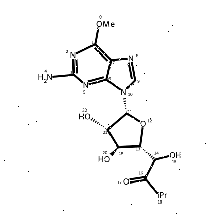 COc1nc(N)nc2c1ncn2[C@@H]1O[C@H](C(O)C(=O)C(C)C)[C@@H](O)[C@@H]1O